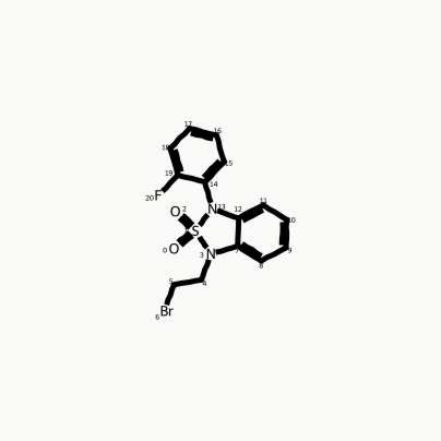 O=S1(=O)N(CCBr)c2ccccc2N1c1ccccc1F